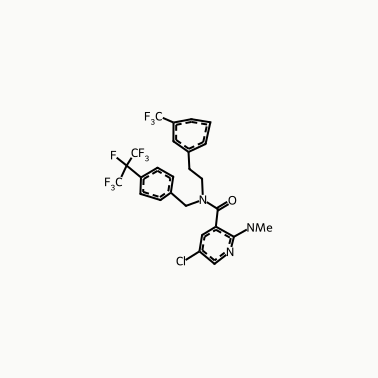 CNc1ncc(Cl)cc1C(=O)N(CCc1cccc(C(F)(F)F)c1)Cc1ccc(C(F)(C(F)(F)F)C(F)(F)F)cc1